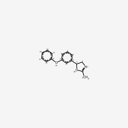 CC1=NCC(c2cccc(Oc3ccccc3)c2)O1